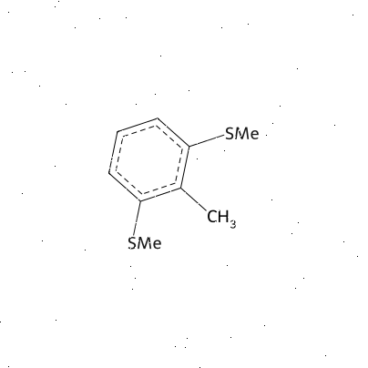 CSc1cccc(SC)c1C